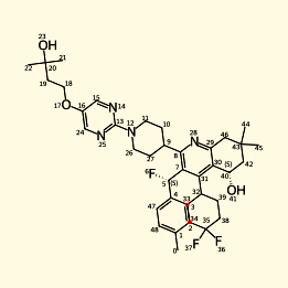 Cc1ccc([C@H](F)c2c(C3CCN(c4ncc(OCCC(C)(C)O)cn4)CC3)nc3c(c2C2CCC(F)(F)CC2)[C@@H](O)CC(C)(C)C3)cc1